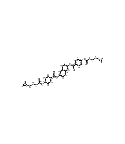 O=C(CCCC1CO1)Oc1ccc(C(=O)Oc2ccc3cc(OC(=O)c4ccc(OC(=O)CCCC5CO5)cc4)ccc3c2)cc1